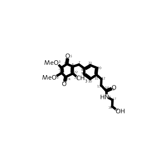 COC1=C(OC)C(=O)C(Cc2ccc(CCC(=O)NCCO)cc2)=C(C)C1=O